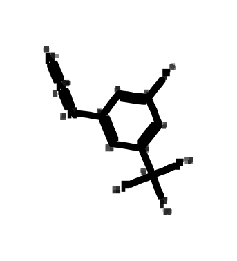 [N-]=[N+]=Nc1cc(F)cc(C(F)(F)F)c1